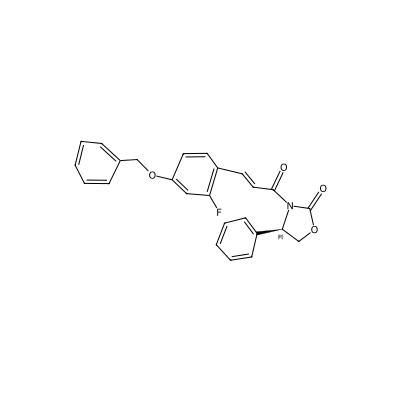 O=C(C=Cc1ccc(OCc2ccccc2)cc1F)N1C(=O)OC[C@H]1c1ccccc1